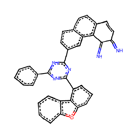 N=C1C=Cc2ccc3ccc(-c4nc(-c5ccccc5)nc(-c5cccc6oc7ccccc7c56)n4)cc3c2C1=N